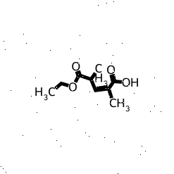 CCOC(=O)C(C)C=C(C)C(=O)O